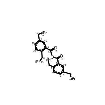 CC(C)Cc1ccc(CC(C)C)c(C(=O)OC(=O)c2cc(CC(C)C)ccc2CC(C)C)c1